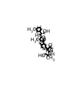 Cc1cccc([C@@H](CO)NC(=O)[C@@H](C)N2Cc3cnc(-c4nc(N[C@@H](C)CO)ncc4Cl)cc3C2=O)c1